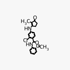 COc1ccccc1NC(=O)c1ccc(NC2=C(C)C(=O)CC2)cc1Cl